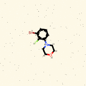 Fc1c(Br)cccc1N1CCOCC1